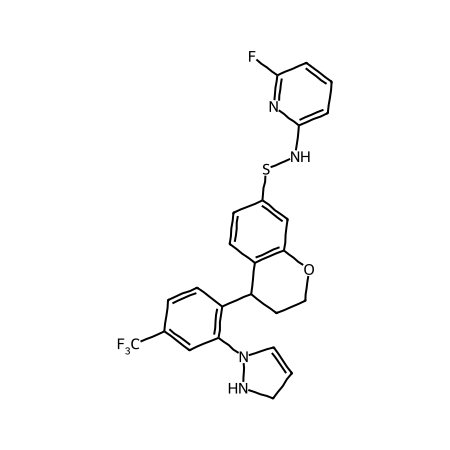 Fc1cccc(NSc2ccc3c(c2)OCCC3c2ccc(C(F)(F)F)cc2N2C=CCN2)n1